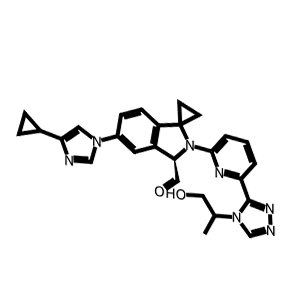 CC(CO)n1cnnc1-c1cccc(N2[C@@H](C=O)c3cc(-n4cnc(C5CC5)c4)ccc3C23CC3)n1